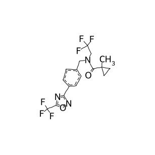 CC1(C(=O)N(Cc2ccc(-c3noc(C(F)(F)F)n3)cc2)CC(F)(F)F)CC1